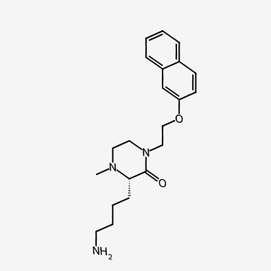 CN1CCN(CCOc2ccc3ccccc3c2)C(=O)[C@@H]1CCCCN